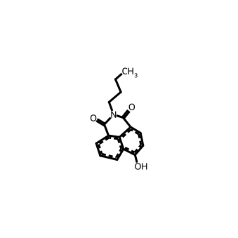 CCCCN1C(=O)c2cccc3c(O)ccc(c23)C1=O